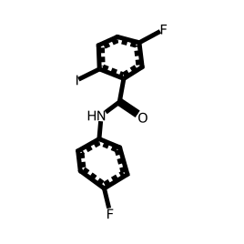 O=C(Nc1ccc(F)cc1)c1cc(F)ccc1I